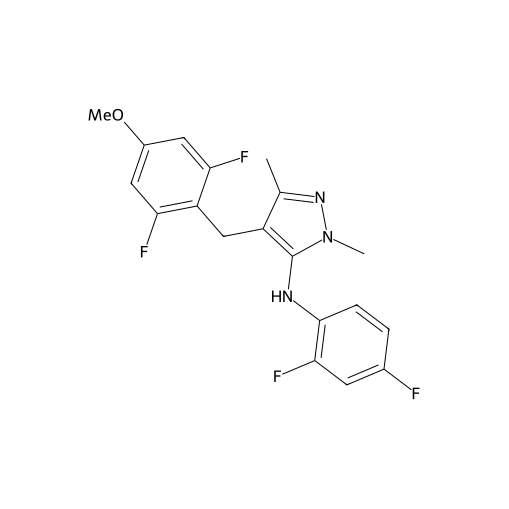 COc1cc(F)c(Cc2c(C)nn(C)c2Nc2ccc(F)cc2F)c(F)c1